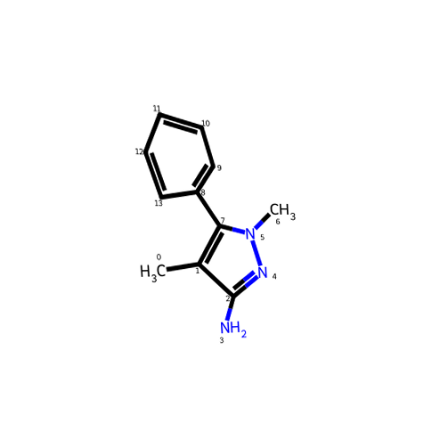 Cc1c(N)nn(C)c1-c1ccccc1